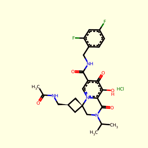 CC(=O)NC[C@H]1C[C@@]2(CN(C(C)C)C(=O)c3c(O)c(=O)c(C(=O)NCc4ccc(F)cc4F)cn32)C1.Cl